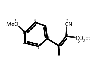 CCOC(=O)C(C#N)=C(C)c1ccc(OC)cc1